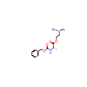 CC(C)N(CCOC(=O)[C@H](C)NC(=O)OCc1ccccc1)C(C)C